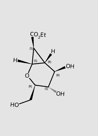 CCOC(=O)[C@@H]1[C@H]2O[C@H](CO)[C@@H](O)[C@H](O)[C@H]21